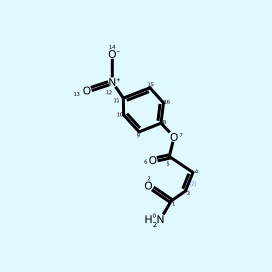 NC(=O)/C=C\C(=O)Oc1ccc([N+](=O)[O-])cc1